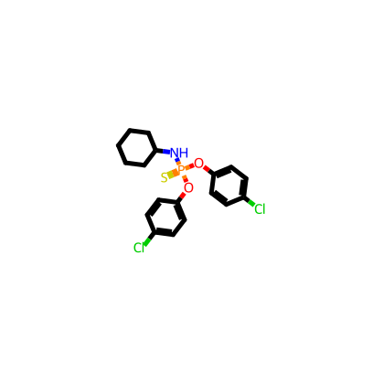 S=P(NC1CCCCC1)(Oc1ccc(Cl)cc1)Oc1ccc(Cl)cc1